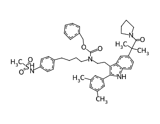 Cc1cc(C)cc(-c2[nH]c3ccc(C(C)(C)C(=O)N4CCCC4)cc3c2CCN(CCCCc2ccc(NS(C)(=O)=O)cc2)C(=O)OCc2ccccc2)c1